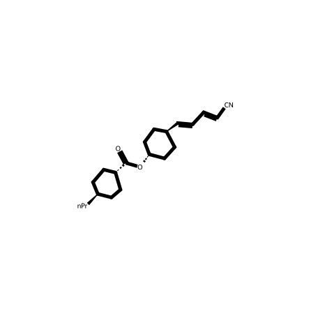 CCC[C@H]1CC[C@H](C(=O)O[C@H]2CC[C@H](C=CC=CC#N)CC2)CC1